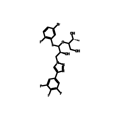 C[C@@H](O)C(CO)OC(Sc1cc(Br)ccc1F)[C@@H](O)Cn1cc(-c2cc(F)c(F)c(F)c2)nn1